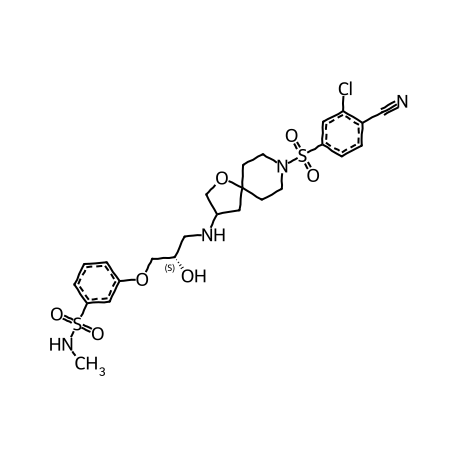 CNS(=O)(=O)c1cccc(OC[C@@H](O)CNC2COC3(CCN(S(=O)(=O)c4ccc(C#N)c(Cl)c4)CC3)C2)c1